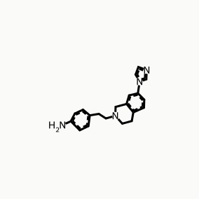 Nc1ccc(CCN2CCc3ccc(-n4ccnc4)cc3C2)cc1